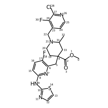 COC(=O)C1(Cc2nc(Nc3nccs3)ccc2F)CCN(Cc2ccnc(Cl)c2F)C(C)C1